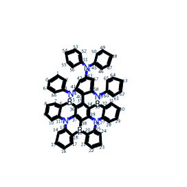 c1ccc(N2B3c4ccccc4N4c5ccccc5B5c6ccccc6N6c7ccccc7B7c8c(c3c4c5c86)-c3c2cc(N(c2ccccc2)c2ccccc2)cc3N7c2ccccc2)cc1